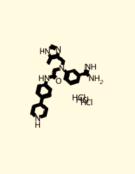 Cc1[nH]cnc1CN(CC(=O)Nc1ccc(C2CCNCC2)cc1)c1cccc(C(=N)N)c1.Cl.Cl.Cl